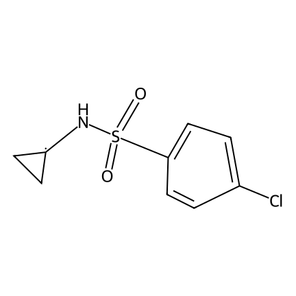 O=S(=O)(N[C]1CC1)c1ccc(Cl)cc1